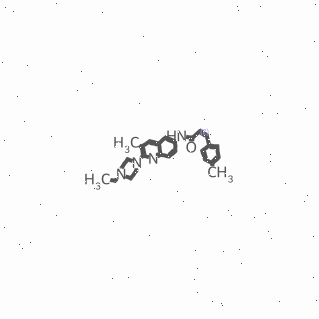 CCN1CCN(c2nc3ccc(NC(=O)/C=C\c4ccc(C)cc4)cc3cc2C)CC1